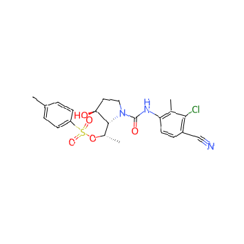 Cc1ccc(S(=O)(=O)O[C@@H](C)[C@@H]2[C@@H](O)CCN2C(=O)Nc2ccc(C#N)c(Cl)c2C)cc1